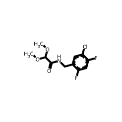 COC(OC)C(=O)NCc1cc(Cl)c(F)cc1F